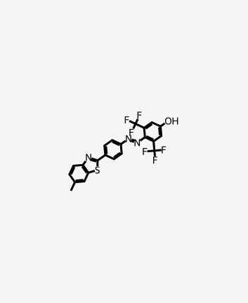 Cc1ccc2nc(-c3ccc(N=Nc4c(C(F)(F)F)cc(O)cc4C(F)(F)F)cc3)sc2c1